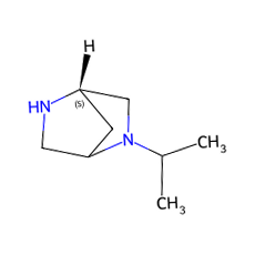 CC(C)N1C[C@@H]2CC1CN2